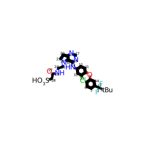 CC(C)(C)C(F)(F)c1cccc(Oc2ccc(Nc3ncnc4ccn(CCNC(=O)CS(=O)(=O)O)c34)cc2Cl)c1